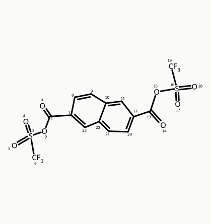 O=C(OS(=O)(=O)C(F)(F)F)c1ccc2cc(C(=O)OS(=O)(=O)C(F)(F)F)ccc2c1